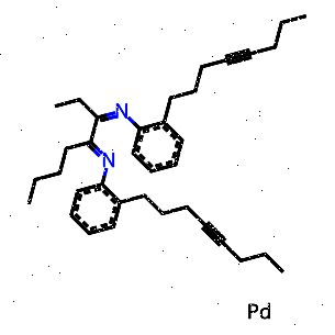 CCCC#CCCCc1ccccc1N=C(CC)C(CCCC)=Nc1ccccc1CCCC#CCCC.[Pd]